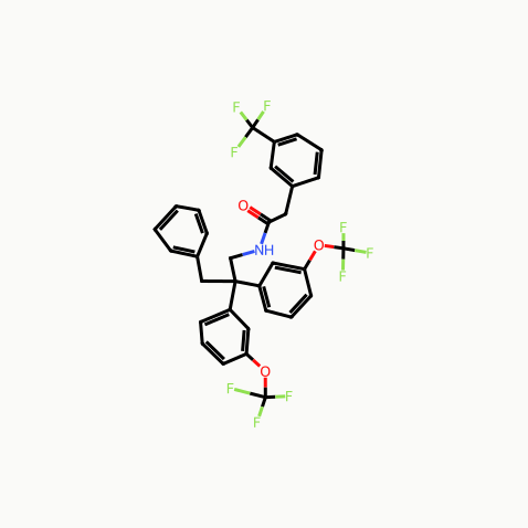 O=C(Cc1cccc(C(F)(F)F)c1)NCC(Cc1ccccc1)(c1cccc(OC(F)(F)F)c1)c1cccc(OC(F)(F)F)c1